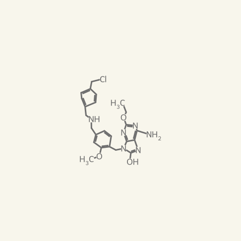 CCOc1nc(N)c2nc(O)n(Cc3ccc(CNCc4ccc(CCl)cc4)cc3OC)c2n1